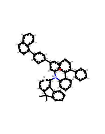 CC1(C)c2ccccc2-c2c(N(c3cccc(-c4ccc(-c5cccc6ccccc56)cc4)c3)c3ccccc3-c3ccccc3-c3ccccc3)cccc21